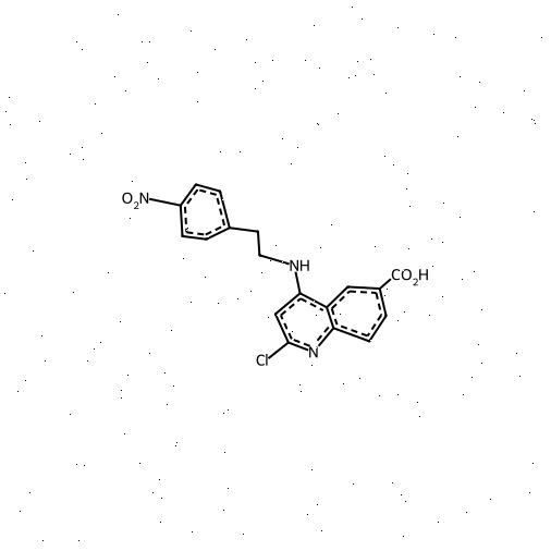 O=C(O)c1ccc2nc(Cl)cc(NCCc3ccc([N+](=O)[O-])cc3)c2c1